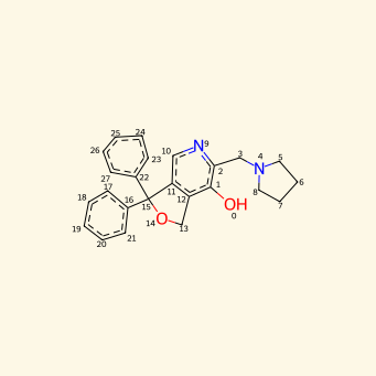 Oc1c(CN2CCCC2)ncc2c1COC2(c1ccccc1)c1ccccc1